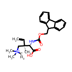 C=C[C@](C)(C[N+](C)(C)C)[C@H](NC(=O)OCC1c2ccccc2-c2ccccc21)C(=O)O